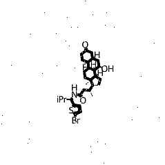 CC(C)[C@@H](NC(=O)C[C@@H](C)[C@H]1CC[C@H]2[C@@H]3[C@H](O)C[C@@H]4CC(=O)CC[C@]4(C)[C@H]3CC[C@]12C)c1ccc(Br)s1